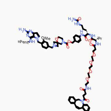 CCCCCNc1nc(N)nc2ccn(Cc3ccc(CN4CC5(C4)CN(C(=O)OCc4ccc(NC(=O)[C@H](CCCNC(N)=O)NC(=O)[C@@H](NC(=O)CCOCCOCCOCCOCCNC(=O)CCC(=O)N6Cc7ccccc7C#Cc7ccccc76)C(C)C)cc4)CCO5)cc3OC)c12